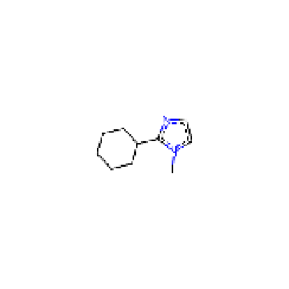 Cn1ccnc1C1CCCCC1